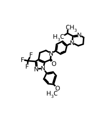 COc1ccc(-n2nc(C(F)(F)F)c3c2C(=O)N(c2ccc(N4CCCN=C4C(C)C)cc2)CC3)cc1